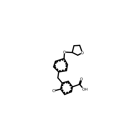 O=C(O)c1ccc(Cl)c(Cc2ccc(OC3CCOC3)cc2)c1